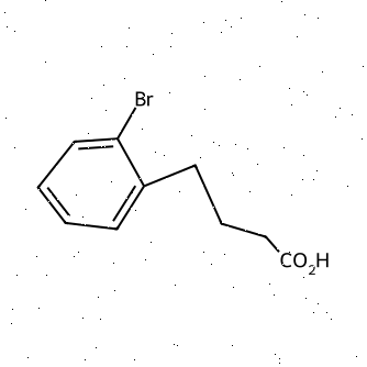 O=C(O)CCCc1ccccc1Br